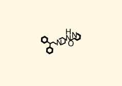 O=C(NC1CCN(CCC(c2ccccc2)c2ccccc2)CC1)c1ccccn1